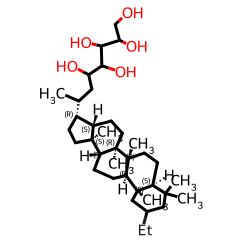 CCC1CC(C)(C)[C@@H]2CC[C@]3(C)[C@H](CC[C@@H]4[C@@]5(C)CC[C@H](C(C)CC(O)C(O)C(O)C(O)CO)[C@@H]5CC[C@]43C)[C@@]2(C)C1